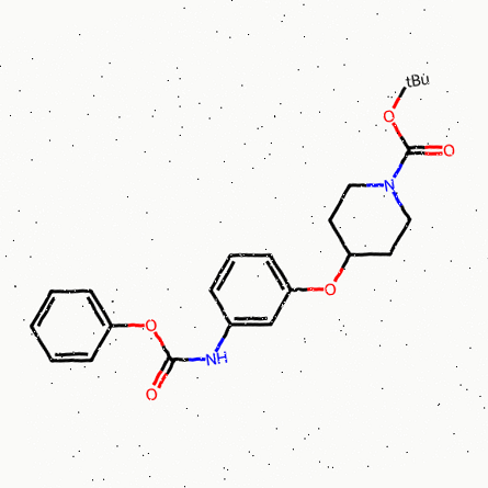 CC(C)(C)OC(=O)N1CCC(Oc2cccc(NC(=O)Oc3ccccc3)c2)CC1